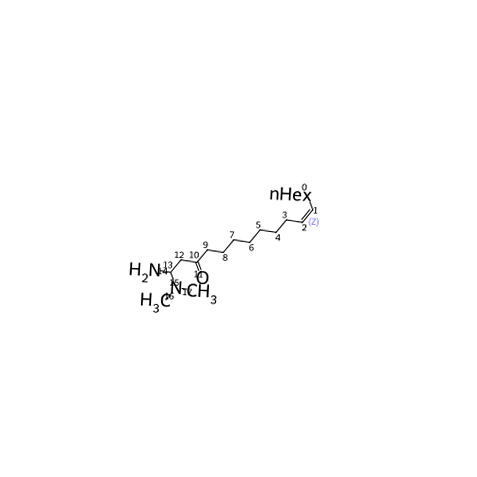 CCCCCC/C=C\CCCCCCCC(=O)CC(N)N(C)C